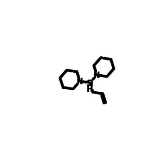 C=CC[SiH](N1CCCCC1)N1CCCCC1